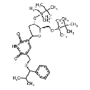 CC(C)C(OCc1cn([C@H]2C[C@H](O[Si](C)(C)C(C)(C)C)[C@@H](CO[Si](C)(C)C(C)(C)C)O2)c(=O)[nH]c1=O)c1ccccc1